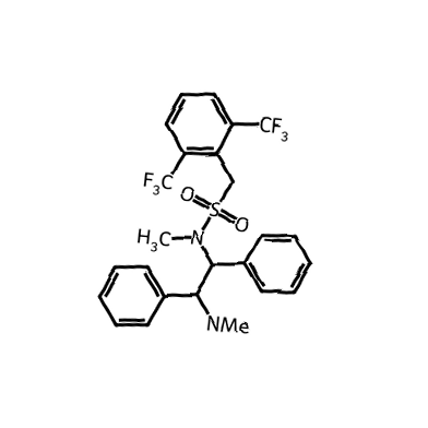 CNC(c1ccccc1)C(c1ccccc1)N(C)S(=O)(=O)Cc1c(C(F)(F)F)cccc1C(F)(F)F